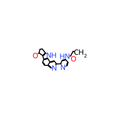 C=CC(=O)Nc1ccnc(-c2cc3c(ccc4c5c([nH]c43)CCC5=O)cn2)c1